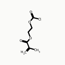 C=C(C)C(=O)OCCOC(=O)Cl